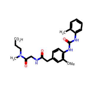 COc1cc(CC(=O)NCC(=O)N(C)CCC(=O)O)ccc1NC(=O)Nc1ccccc1C